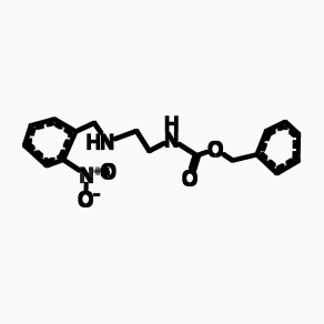 O=C(NCCNCc1ccccc1[N+](=O)[O-])OCc1ccccc1